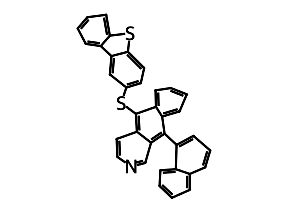 c1ccc2c(-c3c4ccccc4c(Sc4ccc5sc6ccccc6c5c4)c4ccncc34)cccc2c1